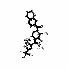 C[C@H]1c2nn(C)c(-c3cc(C(F)(F)F)nn3C)c2CCN1C(=O)c1ccc2c(c1)OCCC2